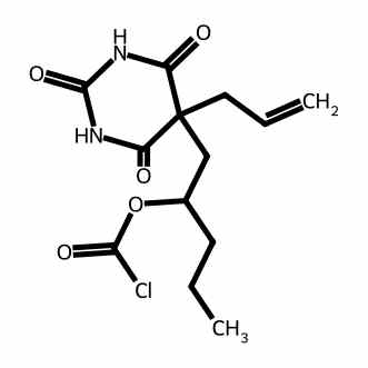 C=CCC1(CC(CCC)OC(=O)Cl)C(=O)NC(=O)NC1=O